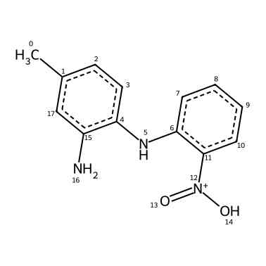 Cc1ccc(Nc2ccccc2[N+](=O)O)c(N)c1